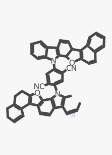 C/C=C\c1c(C)n(-c2cc(C#N)c(-n3c4c(c5ccccc53)C=CC3c5c(ccc6ccccc56)OC43)cc2C#N)c2c1ccc1c3c(oc12)CCC1=C3C=CCC1